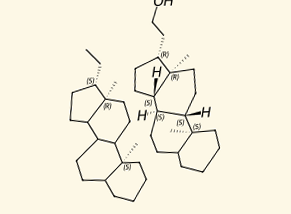 CC[C@H]1CCC2C3CCC4CCCC[C@]4(C)C3CC[C@@]21C.C[C@]12CC[C@H]3[C@@H](CCC4CCCC[C@@]43C)[C@@H]1CC[C@@H]2CCO